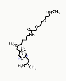 C/C=C(CC(C)N)\N=C/C(C)C[C@@H](C)CCCCNC(=O)COCCOCCNC